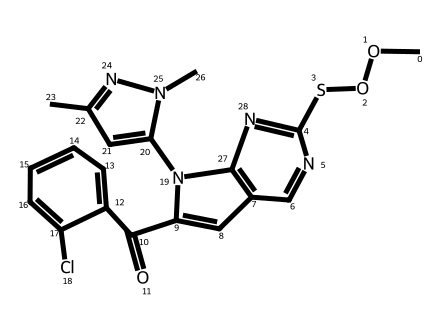 COOSc1ncc2cc(C(=O)c3ccccc3Cl)n(-c3cc(C)nn3C)c2n1